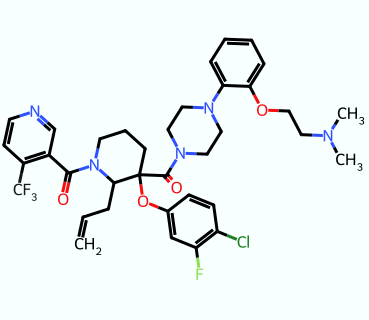 C=CCC1N(C(=O)c2cnccc2C(F)(F)F)CCCC1(Oc1ccc(Cl)c(F)c1)C(=O)N1CCN(c2ccccc2OCCN(C)C)CC1